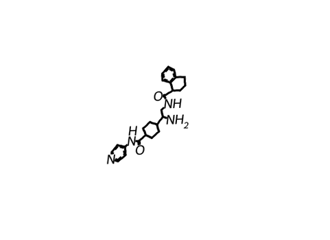 NC(CNC(=O)C1CCCc2ccccc21)C1CCC(C(=O)Nc2ccncc2)CC1